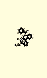 COC(=O)c1cncn1C1c2ccccc2N(C(=O)c2ccccc2)CC1(C)C